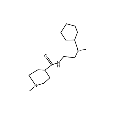 CN1CCC(C(=O)NCCN(C)C2CCCCC2)CC1